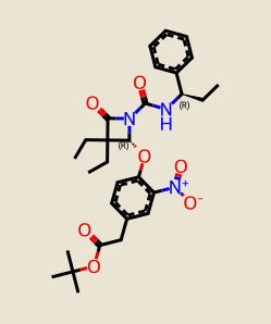 CC[C@@H](NC(=O)N1C(=O)C(CC)(CC)[C@H]1Oc1ccc(CC(=O)OC(C)(C)C)cc1[N+](=O)[O-])c1ccccc1